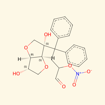 O=CC(CC(c1ccccc1)(c1ccccc1)[C@]1(O)CO[C@@H]2[C@@H](O)CO[C@@H]21)O[N+](=O)[O-]